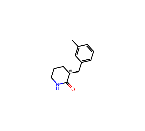 Cc1cccc(C[C@@H]2CCCNC2=O)c1